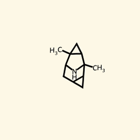 CC12CC1C1(C)NC2CC2CC21